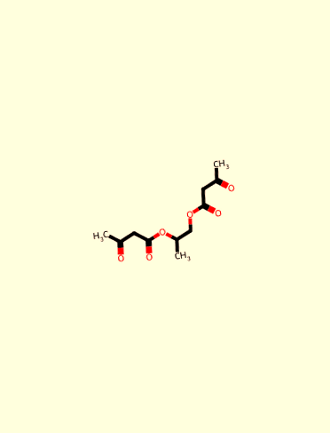 CC(=O)CC(=O)OCC(C)OC(=O)CC(C)=O